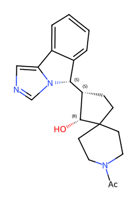 CC(=O)N1CCC2(CC[C@@H]([C@H]3c4ccccc4-c4cncn43)[C@H]2O)CC1